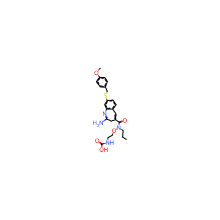 CCCN(OCCNC(=O)O)C(=O)C1=Cc2ccc(SCc3ccc(OC)cc3)cc2N=C(N)C1